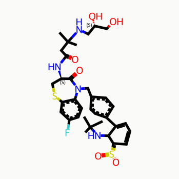 CC(C)(C)NC1C(c2ccc(CN3C(=O)[C@H](NC(=O)CC(C)(C)NC[C@H](O)CO)CSc4cc(F)ccc43)cc2)=CC=CC1=S(=O)=O